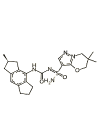 C[C@@H]1Cc2cc3c(c(NC(=O)N=[S@](N)(=O)c4cnn5c4OCC(C)(C)C5)c2C1)CCC3